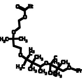 CCC(=O)OCCOC(C)(C)CCOC(C)(C)C(C)(C)C(C)OC(C)(C)C(C)(C)COC(C)C